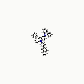 c1ccc(-c2cccc(N(c3ccc(-c4ccc5ccccc5c4)cc3)c3ccc(-n4c5ccccc5c5ccccc54)cc3)c2)cc1